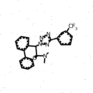 CN(C)C(=O)C(c1ccccc1-c1ccccc1)n1nnc(-c2cccc(C(F)(F)F)c2)n1